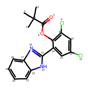 CC(C)(C)C(=O)Oc1c(Cl)cc(Cl)cc1-c1nc2ccccc2[nH]1